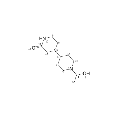 CC(O)N1CCC(N2CCNC(=O)C2)CC1